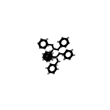 c1ccc(CP(Cc2ccccc2)[C]23[CH]4[CH]5[CH]6[C]2(P(Cc2ccccc2)Cc2ccccc2)[Ni]54632789[CH]3[CH]2[CH]7[CH]8[CH]39)cc1